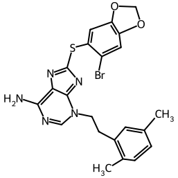 Cc1ccc(C)c(CCn2cnc(N)c3nc(Sc4cc5c(cc4Br)OCO5)nc2-3)c1